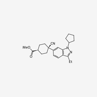 CCc1nn(C2CCCC2)c2cc([C@]3(C#N)CC[C@@H](C(=O)OC)CC3)ccc12